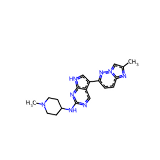 Cc1cn2nc(-c3c[nH]c4nc(NC5CCN(C)CC5)ncc34)ccc2n1